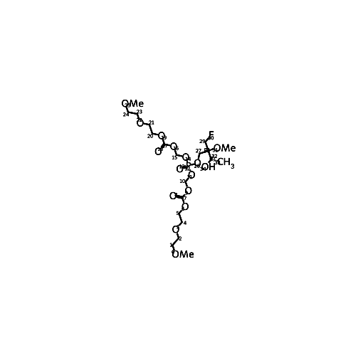 COCCOCCOC(=O)OCOP(=O)(OCOC(=O)OCCOCCOC)OC[C@@](CF)(OC)[C@H](C)O